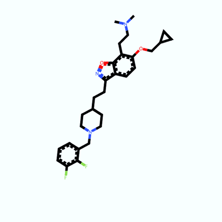 CN(C)CCc1c(OCC2CC2)ccc2c(CCC3CCN(Cc4cccc(F)c4F)CC3)noc12